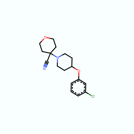 N#CC1(N2CCC(Oc3cccc(Cl)c3)CC2)CCOCC1